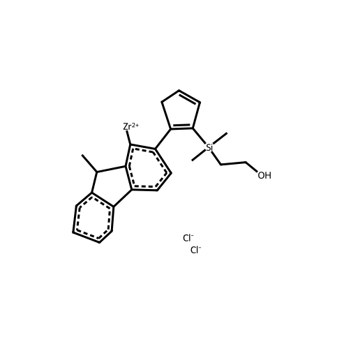 CC1c2ccccc2-c2ccc(C3=C([Si](C)(C)CCO)C=CC3)[c]([Zr+2])c21.[Cl-].[Cl-]